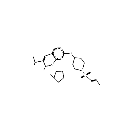 C/C=C/S(=O)(=O)N1CCC(Nc2ncc3c(n2)N([C@@H]2CCC[C@@]2(C)O)C(O)C(C(F)F)=C3)CC1